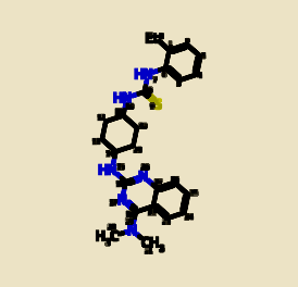 CCc1ccccc1NC(=S)NC1CCC(Nc2nc(N(C)C)c3ccccc3n2)CC1